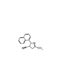 CC1=NC(c2cccc3ccccc23)C(C#N)C1